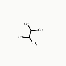 [CH2]C(O)C(O)O